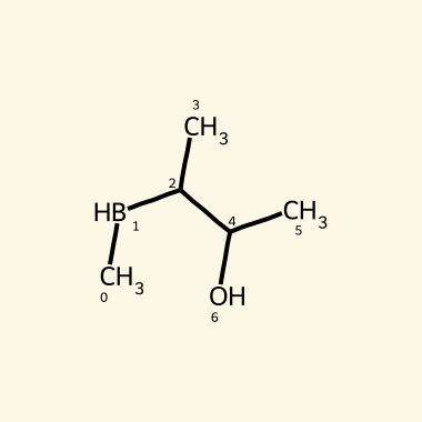 CBC(C)C(C)O